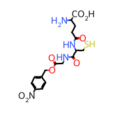 NC(CCC(=O)NC(CS)C(=O)NCC(=O)OCc1ccc([N+](=O)[O-])cc1)C(=O)O